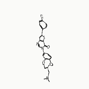 CN(C)C[C@H]1COc2cc(-n3cnc4cc(-c5ccc(Cl)cc5)sc4c3=O)ccc2O1